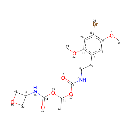 COc1cc(CCNC(=O)OC(C)OC(=O)NC2COC2)c(OC)cc1Br